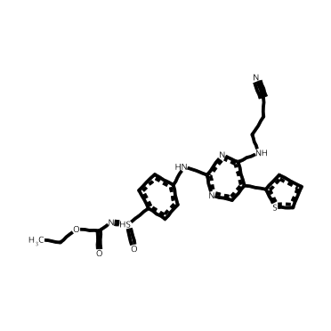 CCOC(=O)N=[SH](=O)c1ccc(Nc2ncc(-c3cccs3)c(NCCC#N)n2)cc1